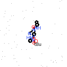 CN(C)CCCN(Cc1ccc(C(=O)Nc2ccccc2NC(=O)OC(C)(C)C)cc1)C(=O)Nc1ccc2c(c1)CCC2